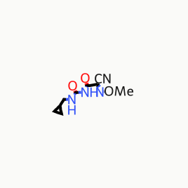 CON=C(C#N)C(=O)NC(=O)NCC1CC1